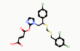 O=C(O)/C=C/C(=O)Oc1nccn1CC(SCSCc1ccc(Cl)cc1Cl)c1ccc(Cl)cc1